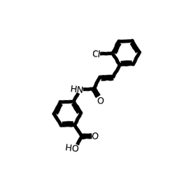 O=C(C=Cc1ccccc1Cl)Nc1cccc(C(=O)O)c1